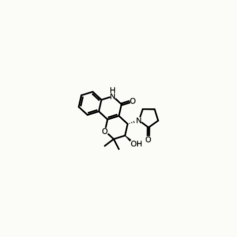 CC1(C)Oc2c(c(=O)[nH]c3ccccc23)[C@H](N2CCCC2=O)[C@H]1O